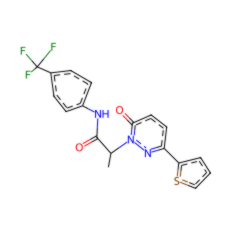 CC(C(=O)Nc1ccc(C(F)(F)F)cc1)n1nc(-c2cccs2)ccc1=O